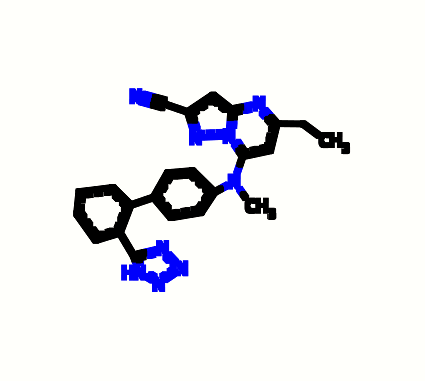 CCc1cc(N(C)c2ccc(-c3ccccc3-c3nnn[nH]3)cc2)n2nc(C#N)cc2n1